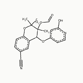 CC1(C)Oc2ccc(C#N)cc2C(Oc2ccnc(O)c2)C1(C)OC=O